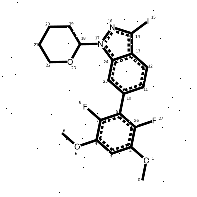 COc1cc(OC)c(F)c(-c2ccc3c(I)nn(C4CCCCO4)c3c2)c1F